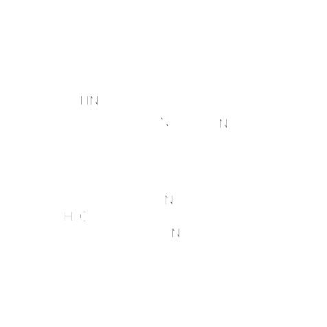 Cc1cnn(-c2cccnc2N2CCNCC2)c1